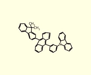 CC1(C)c2ccccc2-c2ccc(-c3c4ccccc4c(-c4cccc(-n5c6ccccc6c6ccccc65)c4)c4ccccc34)cc21